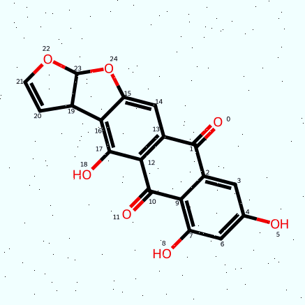 O=C1c2cc(O)cc(O)c2C(=O)c2c1cc1c(c2O)C2C=COC2O1